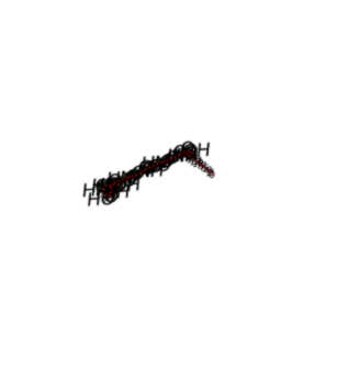 CCCCCCCCCCCCCCCCCC(=O)N[C@@H](CCC(=O)NCCOCCOCC(=O)NCCOCCOCC(=O)NCCOCCOCC(=O)NCCCCC(NO)C(=O)ONC1CCC(=O)NCCCCC(C(=O)O)NOC1=O)C(=O)O